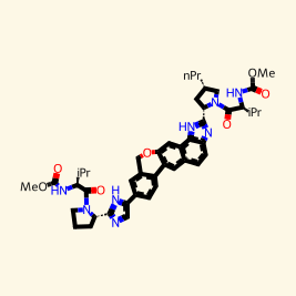 CCC[C@H]1C[C@@H](c2nc3ccc4cc5c(cc4c3[nH]2)OCc2cc(-c3cnc([C@@H]4CCCN4C(=O)[C@@H](NC(=O)OC)C(C)C)[nH]3)ccc2-5)N(C(=O)[C@@H](NC(=O)OC)C(C)C)C1